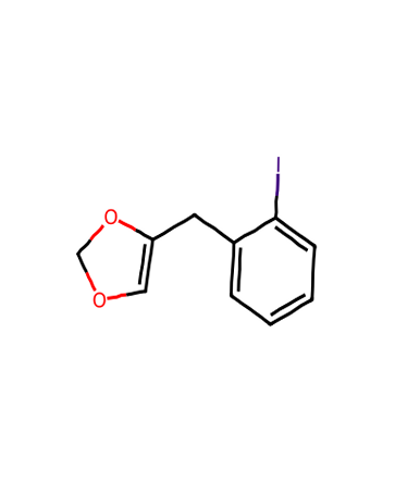 Ic1ccccc1CC1=COCO1